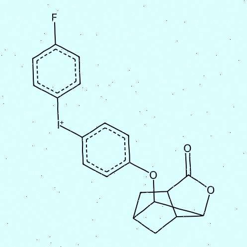 O=C1OC2C3CC(CC13)C2Oc1ccc([I+]c2ccc(F)cc2)cc1